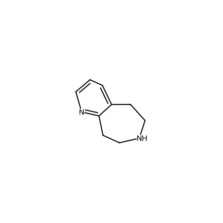 c1cnc2c(c1)CCNCC2